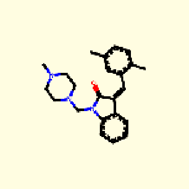 Cc1ccc(C)c(C=C2C(=O)N(CN3CCN(C)CC3)c3ccccc32)c1